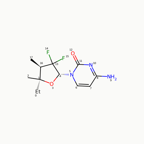 CC[C@@]1(C)O[C@@H](n2ccc(N)nc2=O)C(F)(F)[C@@H]1C